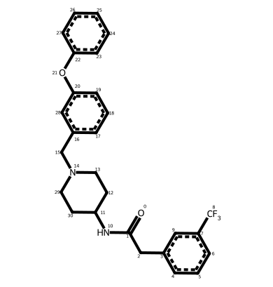 O=C(Cc1cccc(C(F)(F)F)c1)NC1CCN(Cc2cccc(Oc3ccccc3)c2)CC1